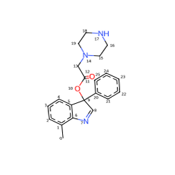 Cc1cccc2c1N=CC2(OC(=O)CN1CCNCC1)c1ccccc1